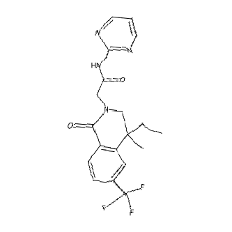 CCC1(C)CN(CC(=O)Nc2ncccn2)C(=O)c2ccc(C(F)(F)F)cc21